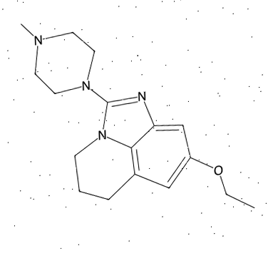 CCOc1cc2c3c(c1)nc(N1CCN(C)CC1)n3CCC2